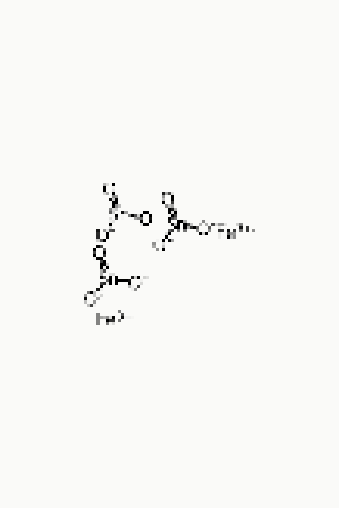 [Fe+3].[Fe+3].[O]=[Sn]([O-])[O-].[O]=[Sn]([O-])[O-].[O]=[Sn]([O-])[O-]